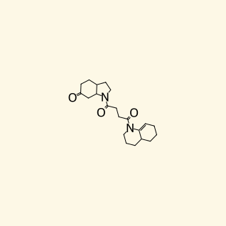 O=C1CCC2CCN(C(=O)CCC(=O)N3CCCC4CCCC=C43)C2C1